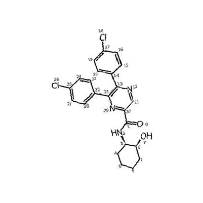 O=C(N[C@@H]1CCCC[C@@H]1O)c1cnc(-c2ccc(Cl)cc2)c(-c2ccc(Cl)cc2)n1